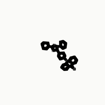 O=c1c2ccccc2n(-c2ccc(-c3nc(-c4ccccc4)nn3-c3ccccc3)cc2)c2ccccc12